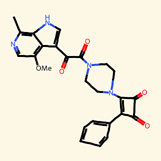 COc1cnc(C)c2[nH]cc(C(=O)C(=O)N3CCN(c4c(-c5ccccc5)c(=O)c4=O)CC3)c12